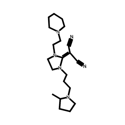 CC1CCCN1CCCN1CCN(CCN2CCCCC2)C1=C(C#N)C#N